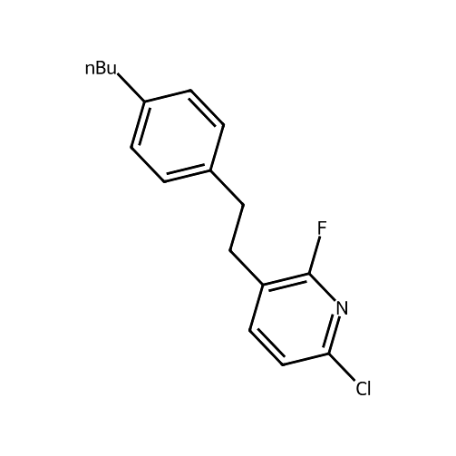 CCCCc1ccc(CCc2ccc(Cl)nc2F)cc1